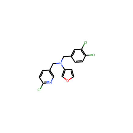 Clc1ccc(CN(Cc2ccc(Cl)c(Cl)c2)c2ccoc2)cn1